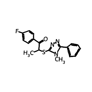 CC(Sc1nnc(-c2ccccc2)n1C)C(=O)c1ccc(F)cc1